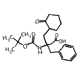 CC(C)(C)OC(=O)NC(Cc1ccccc1)(CC1CCCCC1=O)C(=O)O